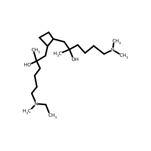 CCN(C)CCCCC(C)(O)CC1CCC1CC(C)(O)CCCCN(C)C